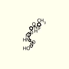 Cc1ccc(F)c(NC(=O)c2cccc(Oc3ccnc(-c4cc(C(=O)N5CCC(O)C5)c[nH]4)c3)c2)c1